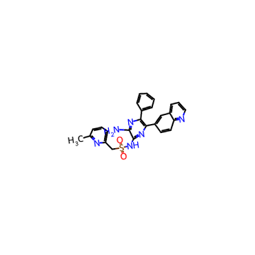 Cc1cccc(CS(=O)(=O)Nc2nc(-c3ccc4ncccc4c3)c(-c3ccccc3)nc2N)n1